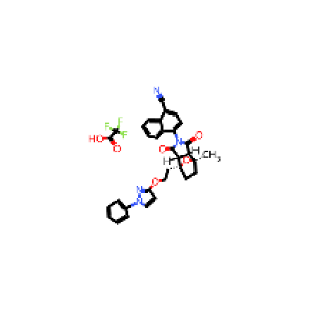 C[C@]12CC[C@](CCOc3ccn(-c4ccccc4)n3)(O1)[C@@H]1C(=O)N(c3ccc(C#N)c4ccccc34)C(=O)[C@@H]12.O=C(O)C(F)(F)F